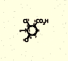 Cn1c(Cl)c(C(=O)O)ccc1=O